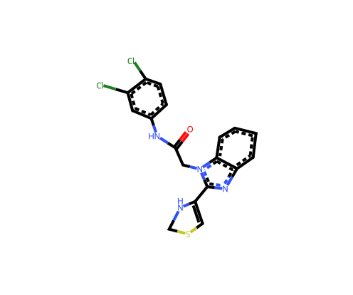 O=C(Cn1c(C2=CSCN2)nc2ccccc21)Nc1ccc(Cl)c(Cl)c1